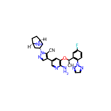 C[C@@H](Oc1cc(-c2cnn([C@@H]3C[C@H]4CC[C@@H](C3)N4)c2C#N)cnc1N)c1cc(F)ccc1-n1nccn1